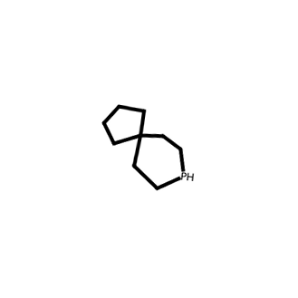 C1CCC2(C1)CCPCC2